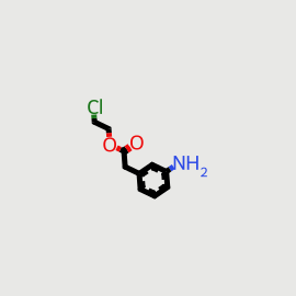 Nc1cccc(CC(=O)OCCCl)c1